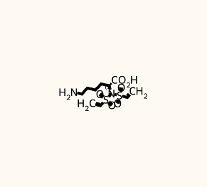 C=CS(=O)(=O)N([C@@H](CCCCN)C(=O)O)S(=O)(=O)C=C